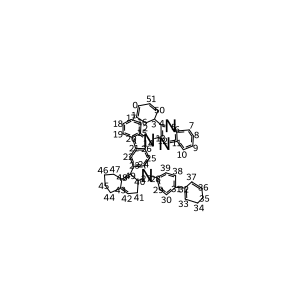 C1=CCC(c2nc3ccccc3nc2-n2c3ccccc3c3cc4c(cc32)N(c2ccc(C3=CCCC=C3)cc2)C2CC=C3CCCCC3=C42)C=C1